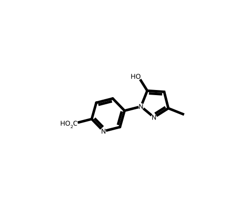 Cc1cc(O)n(-c2ccc(C(=O)O)nc2)n1